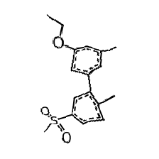 CCOc1cc(C)cc(-c2cc(S(C)(=O)=O)ccc2C)c1